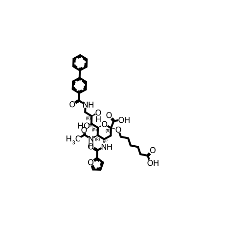 CC(=O)N[C@H]1[C@H]([C@H](O)[C@H](O)CNC(=O)c2ccc(-c3ccccc3)cc2)O[C@@](OCCCCCC(=O)O)(C(=O)O)C[C@@H]1NC(=O)c1ccco1